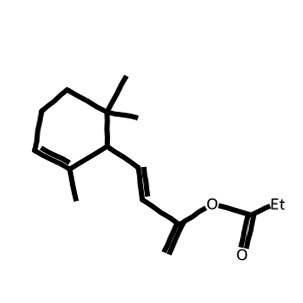 C=C(C=CC1C(C)=CCCC1(C)C)OC(=O)CC